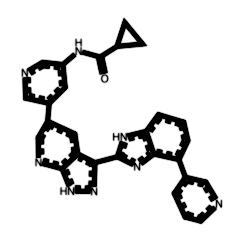 O=C(Nc1cncc(-c2cnc3[nH]nc(-c4nc5c(-c6cccnc6)cccc5[nH]4)c3c2)c1)C1CC1